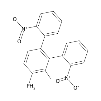 Cc1c(P)ccc(-c2ccccc2[N+](=O)[O-])c1-c1ccccc1[N+](=O)[O-]